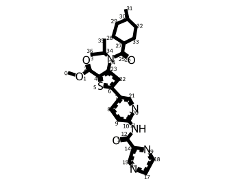 COC(=O)c1sc(-c2ccc(NC(=O)c3cnccn3)nc2)cc1N(C(=O)C1CCC(C)CC1)C(C)C